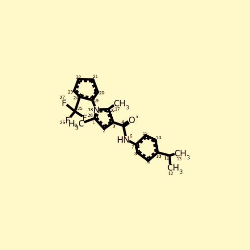 Cc1cc(C(=O)Nc2ccc(C(C)C)cc2)c(C)n1-c1ccccc1C(F)(F)F